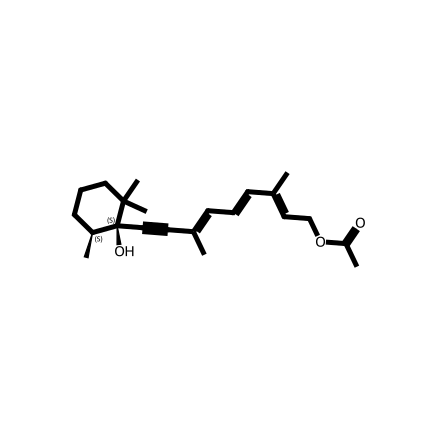 CC(=O)OCC=C(C)C=CC=C(C)C#C[C@]1(O)[C@@H](C)CCCC1(C)C